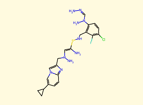 N/N=C\N(N)c1ccc(Cl)c(F)c1CNS/C(N)=C/N(N)Cc1cn2cc(C3CC3)ccc2n1